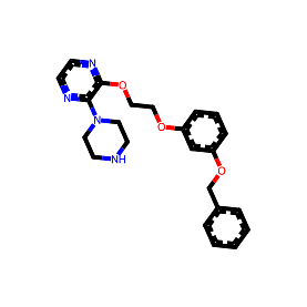 c1ccc(COc2cccc(OCCOc3nccnc3N3CCNCC3)c2)cc1